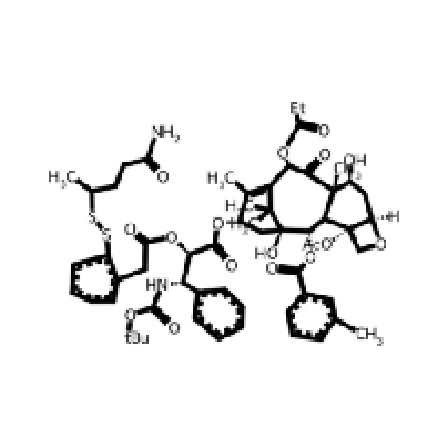 CCC(=O)O[C@H]1C(=O)[C@@]2(C)C([C@H](OC(=O)c3cccc(C)c3)[C@]3(O)C[C@H](OC(=O)[C@H](OC(=O)Cc4ccccc4SSC(C)CCC(N)=O)[C@@H](NC(=O)OC(C)(C)C)c4ccccc4)C(C)=C1C3(C)C)[C@]1(OC(C)=O)CO[C@@H]1C[C@@H]2O